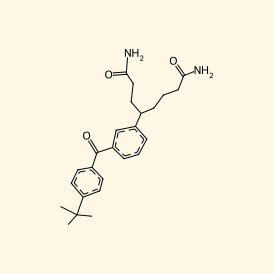 CC(C)(C)c1ccc(C(=O)c2cccc(C(CCCC(N)=O)CCC(N)=O)c2)cc1